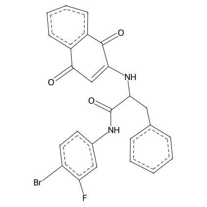 O=C1C=C(NC(Cc2ccccc2)C(=O)Nc2ccc(Br)c(F)c2)C(=O)c2ccccc21